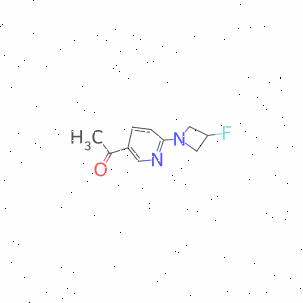 CC(=O)c1ccc(N2CC(F)C2)nc1